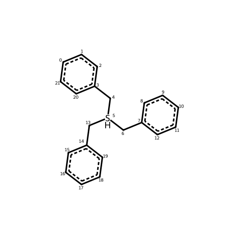 c1ccc(C[SH](Cc2ccccc2)Cc2ccccc2)cc1